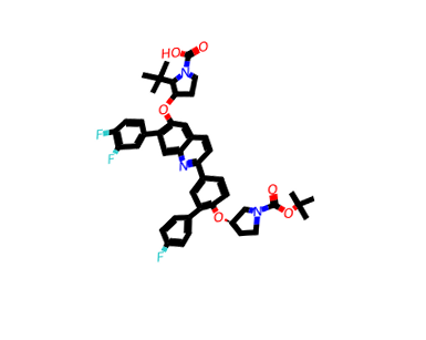 CC(C)(C)OC(=O)N1CC[C@H](Oc2ccc(-c3ccc4cc(OC5CCN(C(=O)O)C5C(C)(C)C)c(-c5ccc(F)c(F)c5)cc4n3)cc2-c2ccc(F)cc2)C1